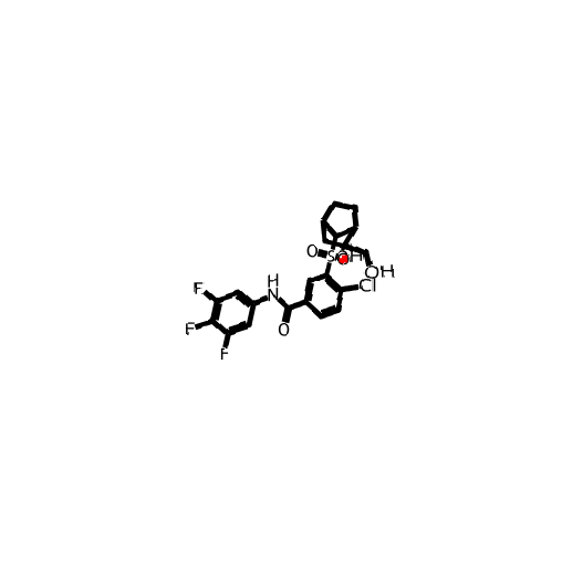 O=C(Nc1cc(F)c(F)c(F)c1)c1ccc(Cl)c(S(=O)(=O)C2C3CCC2[C@@](O)(CO)C3)c1